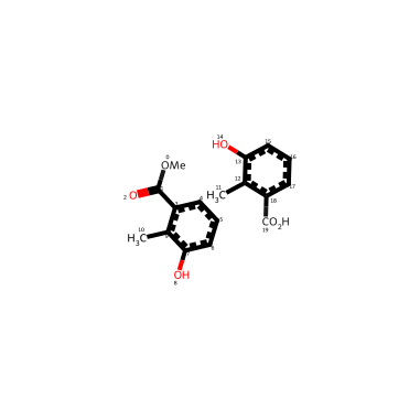 COC(=O)c1cccc(O)c1C.Cc1c(O)cccc1C(=O)O